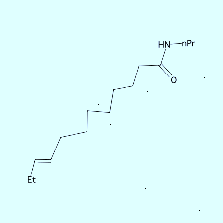 CC/C=C/CCCCCCCC(=O)NCCC